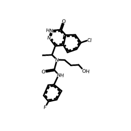 CC(c1n[nH]c(=O)c2cc(Cl)ccc12)N(CCCO)C(=O)Nc1ccc(F)cc1